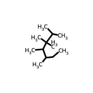 CCC(C)C(C)C(C)(C)C(C)C